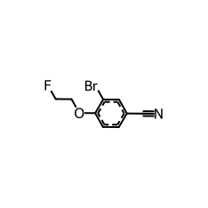 N#Cc1ccc(OCCF)c(Br)c1